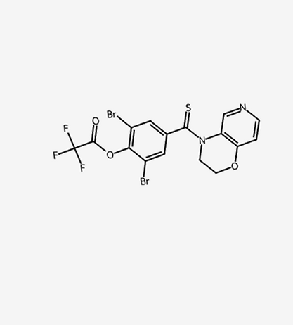 O=C(Oc1c(Br)cc(C(=S)N2CCOc3ccncc32)cc1Br)C(F)(F)F